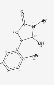 CCCc1ccccc1C1OC(=O)N(C(C)C)C1O